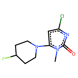 Cn1c(N2CCC(F)CC2)cc(Cl)nc1=O